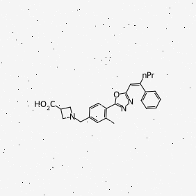 CCC/C(=C/c1nnc(-c2ccc(CN3CC(C(=O)O)C3)cc2C)o1)c1ccccc1